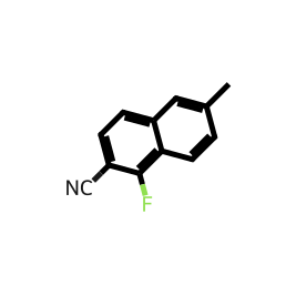 Cc1ccc2c(F)c(C#N)ccc2c1